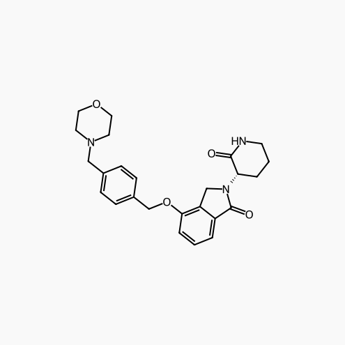 O=C1NCCC[C@@H]1N1Cc2c(OCc3ccc(CN4CCOCC4)cc3)cccc2C1=O